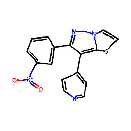 O=[N+]([O-])c1cccc(-c2nn3ccsc3c2-c2ccncc2)c1